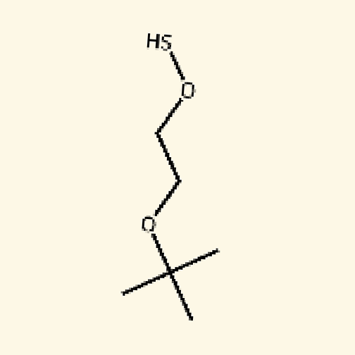 CC(C)(C)OCCOS